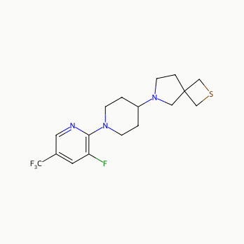 Fc1cc(C(F)(F)F)cnc1N1CCC(N2CCC3(CSC3)C2)CC1